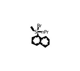 C=C[Si](Br)(CCC)c1cccc2ccccc12